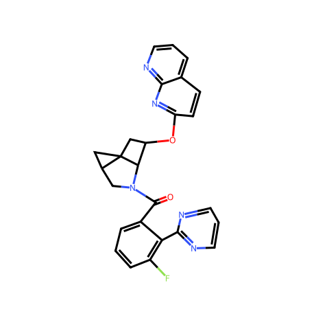 O=C(c1cccc(F)c1-c1ncccn1)N1CC2CC23CC(Oc2ccc4cccnc4n2)C13